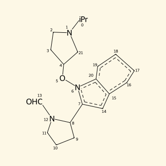 CC(C)N1CCC(On2c(C3CCCN3C=O)cc3ccccc32)C1